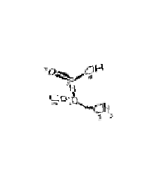 CO[PH](=O)O.[Co]